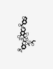 CCC(=O)OC(C)OC(=O)[C@H](Cc1cccc([S+](C)[O-])c1)NC(=O)c1c(Cl)cc2c(c1Cl)CCN(C(=O)c1ccc3ccoc3c1)C2